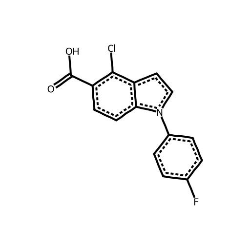 O=C(O)c1ccc2c(ccn2-c2ccc(F)cc2)c1Cl